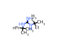 CCCC(C)(C)NC(=N)NC(C)(C)CC